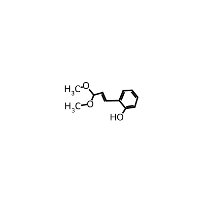 COC(C=Cc1ccccc1O)OC